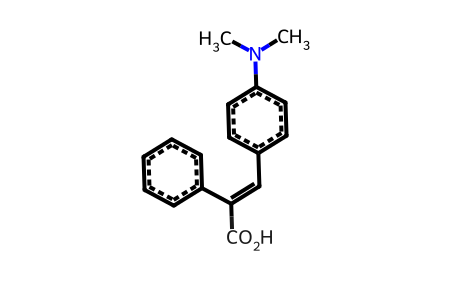 CN(C)c1ccc(/C=C(/C(=O)O)c2ccccc2)cc1